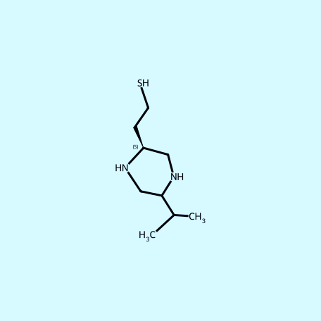 CC(C)C1CN[C@@H](CCS)CN1